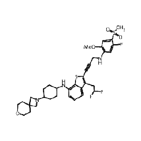 COc1cc(S(C)(=O)=O)c(F)cc1NCC#Cc1sc2c(NC3CCC(N4CC5(CCOCC5)C4)CC3)cccc2c1CC(F)F